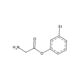 CCc1cccc(OC(=O)CN)c1